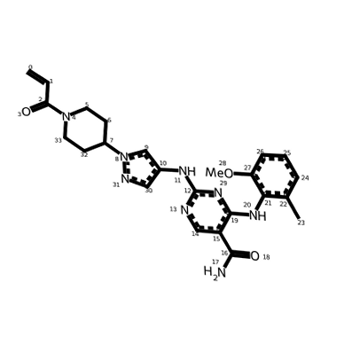 C=CC(=O)N1CCC(n2cc(Nc3ncc(C(N)=O)c(Nc4c(C)cccc4OC)n3)cn2)CC1